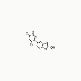 CCC1CC(=O)NN=C1c1ccc2c(c1)N=C(O)[N]2